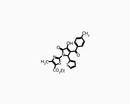 CCOC(=O)c1sc(N2C(=O)C(O)=C(C(=O)c3ccc(C)cc3)C2c2cccs2)nc1C